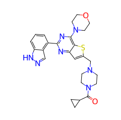 O=C(C1CC1)N1CCN(Cc2cc3nc(-c4cccc5[nH]ncc45)nc(N4CCOCC4)c3s2)CC1